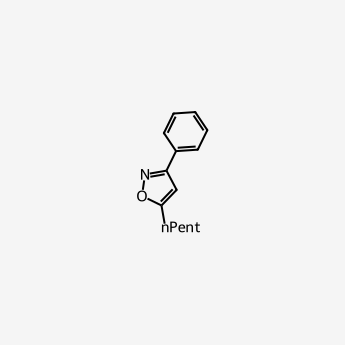 CCCCCc1cc(-c2ccccc2)no1